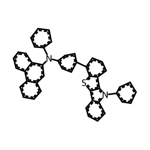 c1ccc(N(c2ccc(-c3cccc4c3sc3c5ccccc5n(-c5ccccc5)c43)cc2)c2cc3ccccc3c3ccccc23)cc1